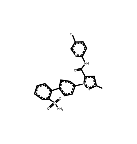 Cc1cc(C(=O)Nc2ccc(Cl)cn2)n(-c2ccc(-c3ccccc3S(N)(=O)=O)cc2)n1